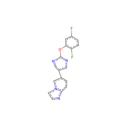 Fc1ccc(F)c(Oc2ncc(-c3ccc4nccn4c3)cn2)c1